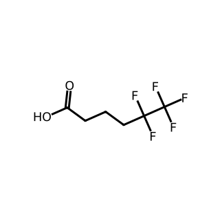 O=C(O)CCCC(F)(F)C(F)(F)F